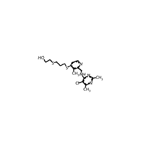 Cc1nc(C)c(Cl)c(NCc2nccc(SCCCSCCO)c2C)n1